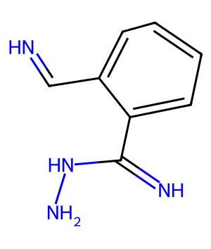 N=Cc1ccccc1C(=N)NN